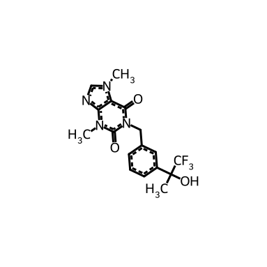 Cn1cnc2c1c(=O)n(Cc1cccc(C(C)(O)C(F)(F)F)c1)c(=O)n2C